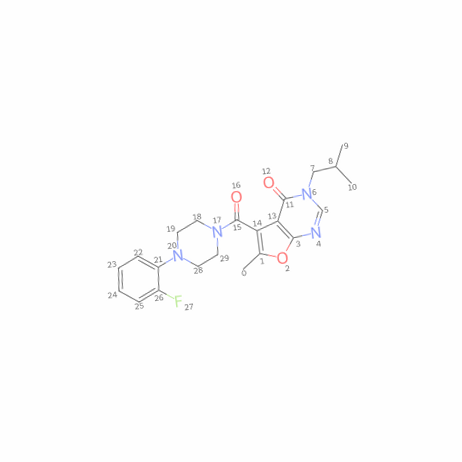 Cc1oc2ncn(CC(C)C)c(=O)c2c1C(=O)N1CCN(c2ccccc2F)CC1